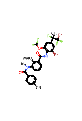 CCN(C(=O)c1ccc(C#N)cc1)c1cccc(C(=O)Nc2c(Br)cc(C(F)(C(F)(F)F)C(F)(F)Br)cc2OC(F)F)c1OC